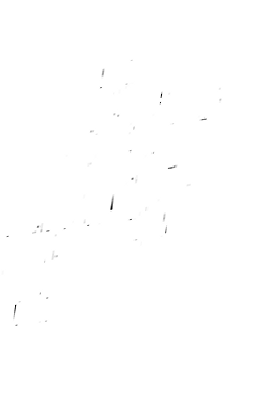 c1ccc(-c2cc(-c3nc(-c4ccccc4)c4ccccc4n3)ccc2-n2c3ccccc3c3c4c5ccccc5oc4c4c(c5ccccc5n4-c4ccccc4)c32)cc1